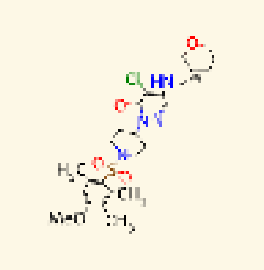 COc1cc(C)c(S(=O)(=O)N2CCC(n3ncc(NC[C@H]4CCCOC4)c(Cl)c3=O)CC2)c(C)c1C